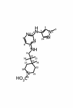 Cn1cc(Nc2nccc(NCC(C)(C)C3(C)CCN(C(=O)O)CC3)n2)cn1